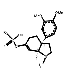 COc1ccc([C@@]23CCC(OP(=O)(O)O)=C[C@@H]2N(C)CC3)cc1OC